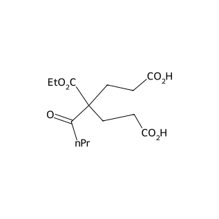 CCCC(=O)C(CCC(=O)O)(CCC(=O)O)C(=O)OCC